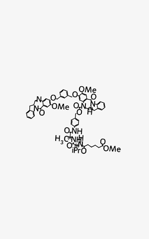 COC(=O)CCCCC(=O)N[C@@H](C(=O)N[C@H](C)C(=O)Nc1ccc(COC(=O)N2C[C@@H]3Cc4ccccc4N3C(=O)c3cc(OC)c(OCc4cccc(COc5cc6c(cc5OC)C(=O)N5c7ccccc7CC5C=N6)c4)cc32)cc1)C(C)C